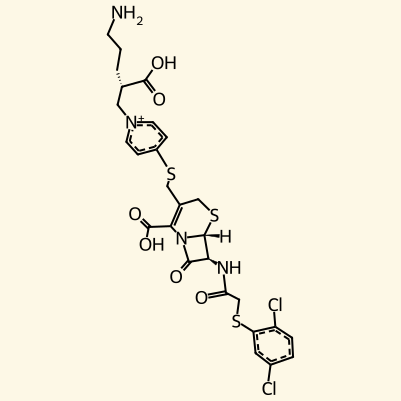 NCCC[C@@H](C[n+]1ccc(SCC2=C(C(=O)O)N3C(=O)[C@H](NC(=O)CSc4cc(Cl)ccc4Cl)[C@H]3SC2)cc1)C(=O)O